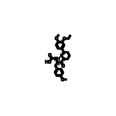 CCOc1cc(C2=NN(C(=O)[C@@H](Cc3ccc(OC)cc3)NC(=O)O)CCC2)ccc1OC